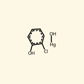 Oc1ccccc1Cl.[OH][Hg]